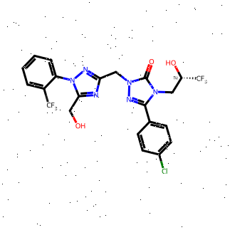 O=c1n(Cc2nc(CO)n(-c3ccccc3C(F)(F)F)n2)nc(-c2ccc(Cl)cc2)n1C[C@H](O)C(F)(F)F